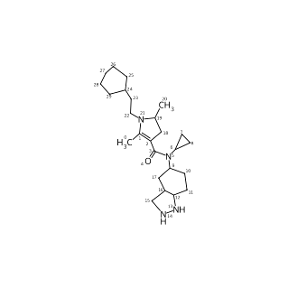 CC1=C(C(=O)N(C2CC2)C2CCC3NNCC3C2)CC(C)N1CCC1CCCCC1